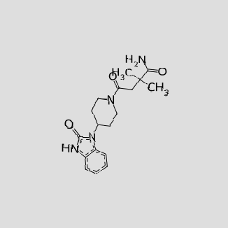 CC(C)(CC(=O)N1CCC(n2c(=O)[nH]c3ccccc32)CC1)C(N)=O